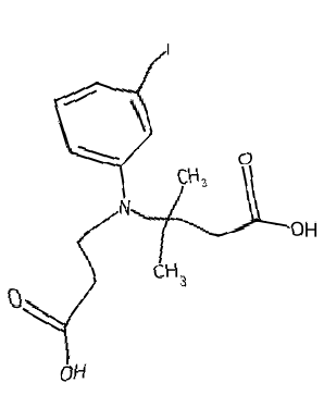 CC(C)(CC(=O)O)N(CCC(=O)O)c1cccc(I)c1